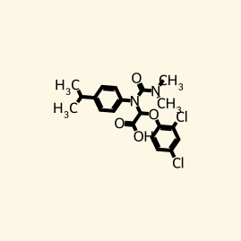 CC(C)c1ccc(N(C(=O)N(C)C)C(Oc2ccc(Cl)cc2Cl)C(=O)O)cc1